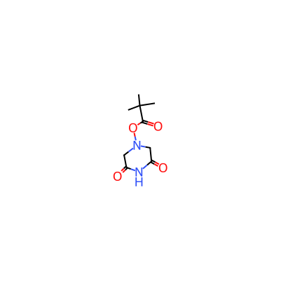 CC(C)(C)C(=O)ON1CC(=O)NC(=O)C1